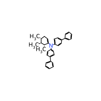 C[C@H]1[C@H](C)CC=C(N(c2ccc(-c3ccccc3)cc2)c2ccc(-c3ccccc3)cc2)[C@@H]1C